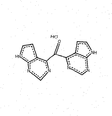 Cl.O=C(c1ncnc2[nH]ccc12)c1ncnc2[nH]ccc12